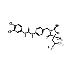 CC(C)CC1(C)NC(=N)N(Cc2ccc(NC(=O)Nc3ccc(Cl)c(Cl)c3)cc2)C1=O